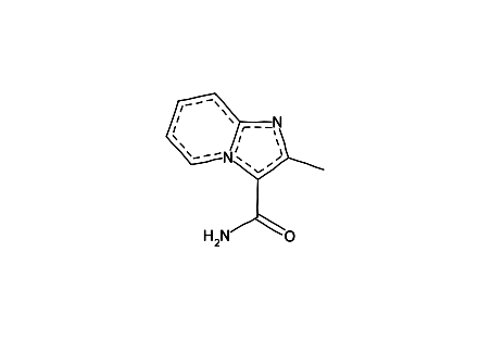 Cc1nc2ccccn2c1C(N)=O